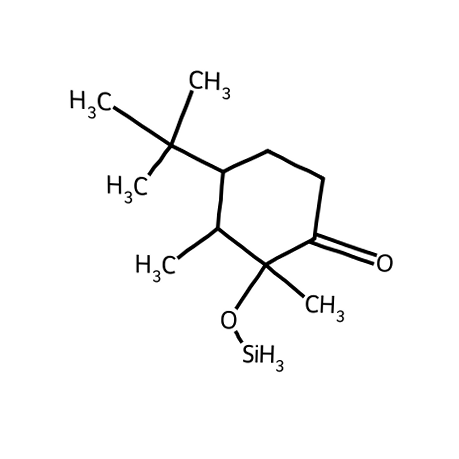 CC1C(C(C)(C)C)CCC(=O)C1(C)O[SiH3]